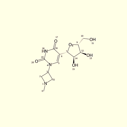 CN1CC(n2cc([C@@H]3O[C@H](CO)[C@@H](O)[C@H]3O)c(=O)[nH]c2=O)C1